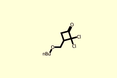 CCCCOCC1CC(=O)C1(Cl)Cl